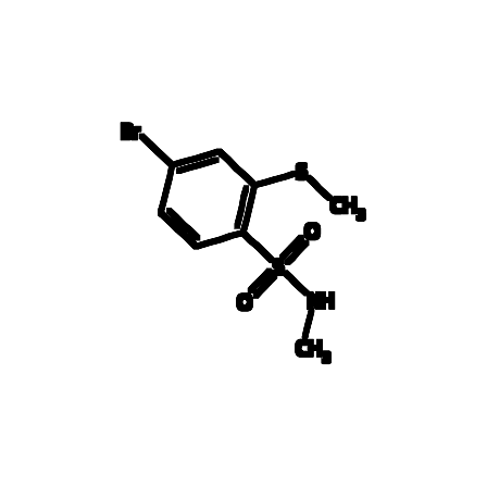 CNS(=O)(=O)c1ccc(Br)cc1SC